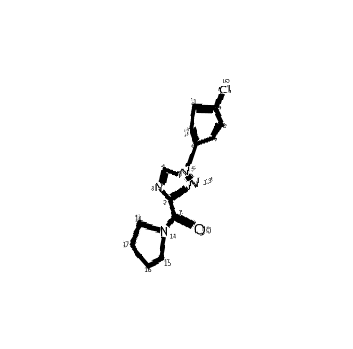 O=C(c1ncn(-c2ccc(Cl)cc2)n1)N1CCCC1